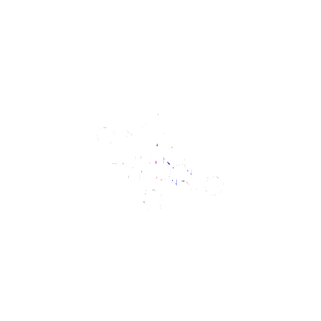 CC(C)C[C@@H](C(=O)Nn1c(=O)n(Cc2ccccc2)c(=O)n(Cc2ccccc2)c1=O)C(C/C=C/c1ccccc1)C(=O)OC(C)(C)C